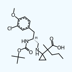 CCCC(C)(C(=O)O)C1(NC[C@@H](Cc2ccc(OC)c(Cl)c2)NC(=O)OC(C)(C)C)CC1